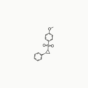 COc1ccc(S(=O)(=O)C2C[C@H]2c2ccccc2)cc1